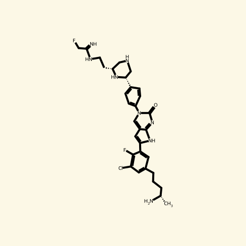 C[C@H](N)CCCc1cc(Cl)c(F)c(-c2cc3cn(-c4ccc([C@H]5CNC[C@@H](CCNC(=N)CF)N5)cc4)c(=O)nc3[nH]2)c1